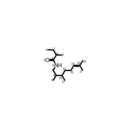 CCC(C)C(=O)NCC(C)C(C)CCC=C(C)C